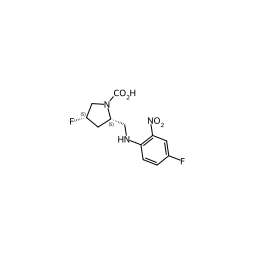 O=C(O)N1C[C@@H](F)C[C@H]1CNc1ccc(F)cc1[N+](=O)[O-]